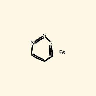 [Fe].c1cnnnc1